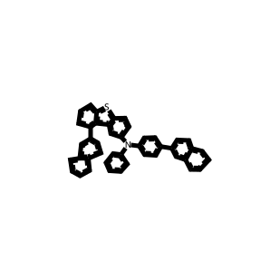 c1ccc(N(c2ccc(-c3ccc4ccccc4c3)cc2)c2ccc3sc4cccc(-c5ccc6ccccc6c5)c4c3c2)cc1